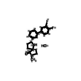 CN1CC[C@@]2(CC[C@H](c3cc(-c4ccc(F)c(F)c4)ccn3)N2)C1=O.Cl